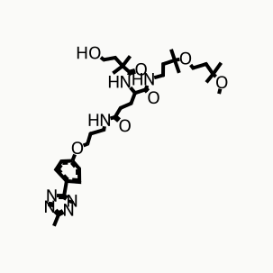 COC(C)(C)CCOC(C)(C)CCNC(=O)C(CCC(=O)NCCCOc1ccc(-c2nnc(C)nn2)cc1)NC(=O)C(C)(C)CCO